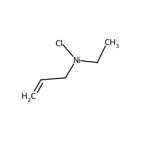 C=C[CH2][Ni]([Cl])[CH2]C